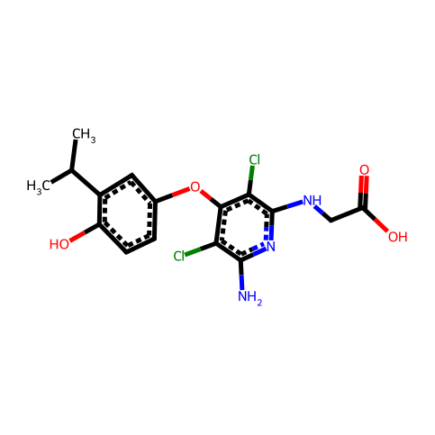 CC(C)c1cc(Oc2c(Cl)c(N)nc(NCC(=O)O)c2Cl)ccc1O